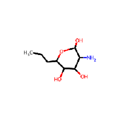 CCCC1OC(O)C(N)C(O)C1O